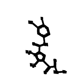 Cc1c(C(=O)C(=O)NC(C)C)cc(C(=O)Nc2ccc(F)c(C#N)c2)n1C